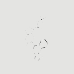 CC1CC2CCN(C(=O)OC(C)(C)C)C2CN1C(=O)c1ccccc1-n1nccn1